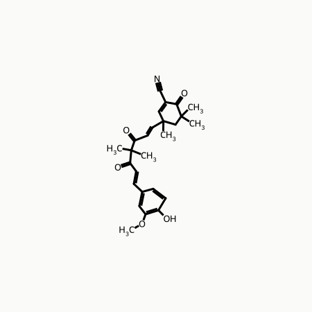 COc1cc(C=CC(=O)C(C)(C)C(=O)C=CC2(C)C=C(C#N)C(=O)C(C)(C)C2)ccc1O